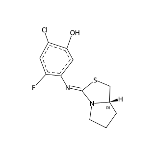 Oc1cc(N=C2SC[C@@H]3CCCN23)c(F)cc1Cl